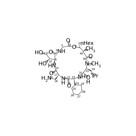 CCCCCC[C@H]1OC(=O)CNC(=O)[C@H]([C@@H](O)CO)NC(=O)[C@H](CN)NC(=O)[C@H](C2CCCCC2)NC(O)[C@H](CC(C)C)N(C)C(=O)[C@@H]1C